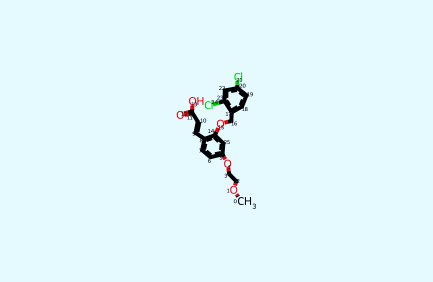 COCCOc1ccc(/C=C/C(=O)O)c(OCc2ccc(Cl)cc2Cl)c1